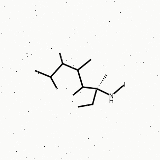 CC[C@](C)(NI)C(C)C(C)C(C)C(C)C